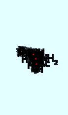 CC(=O)c1c(C2C[C@H]3CC[C@@H](C2)N3C(=O)c2n[nH]c(N(C)C)n2)nc2c(-c3ccc(-c4ccccc4)nc3)cnn2c1N